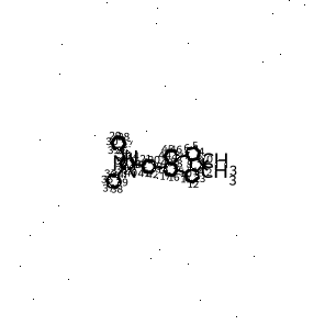 CC1(C)c2cccc3c2-c2c(cccc21)-c1ccc(-c2ccc(-c4nc(-c5ccccc5)nc(-c5ccccc5)n4)cc2)c2cccc-3c12